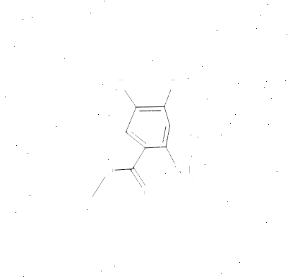 COC(=O)c1cc(F)c(F)cc1N